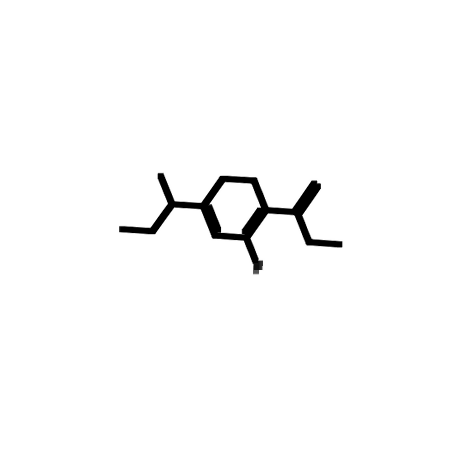 C=C(CC)C1=C(F)C=C(C(C)CC)CC1